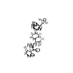 Cc1cnoc1C(=O)N[C@@H]1CCc2cc(-c3noc(C4COC4)n3)ccc21